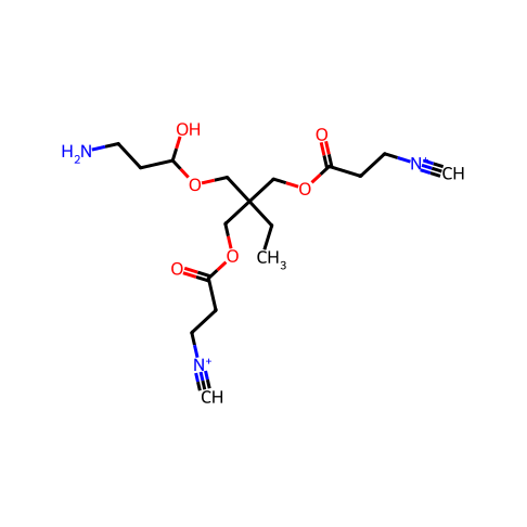 C#[N+]CCC(=O)OCC(CC)(COC(=O)CC[N+]#C)COC(O)CCN